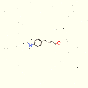 CN(C)c1ccc(CC=CC=O)cc1